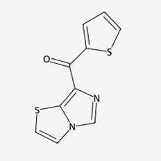 O=C(c1cccs1)c1ncn2ccsc12